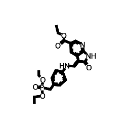 CCOC(=O)c1cnc2c(c1)/C(=C\Nc1ccc(CP(=O)(OCC)OCC)cc1)C(=O)N2